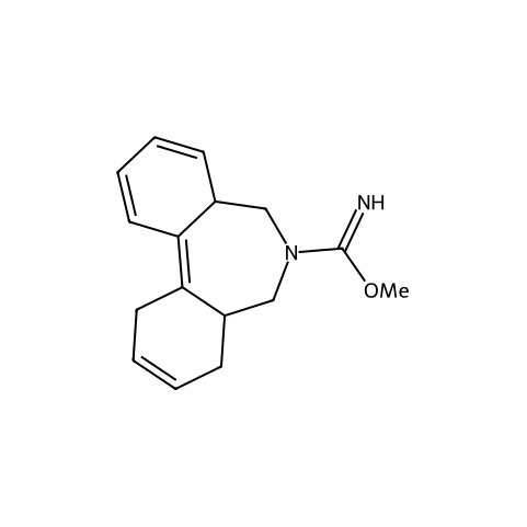 COC(=N)N1CC2C=CC=CC2=C2CC=CCC2C1